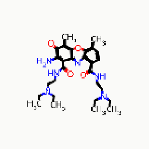 CCN(CC)CCNC(=O)c1c2nc3c(C(=O)NCCN(CC)CC)ccc(C)c3oc-2c(C)c(=O)c1N